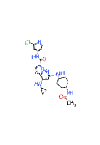 CC(=O)N[C@H]1CC[C@H](Nc2cc(NC3CC3)c3ncc(C(=O)Nc4ccnc(Cl)c4)n3n2)CC1